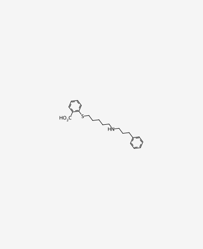 O=C(O)c1ccccc1SCCCCCNCCCc1ccccc1